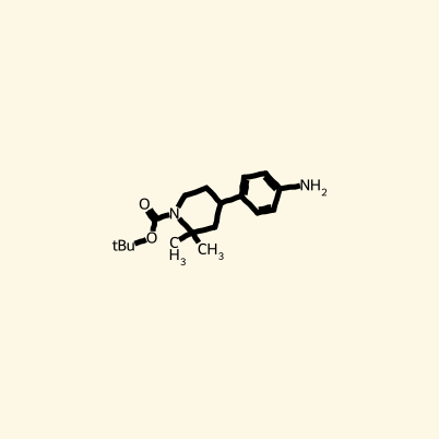 CC(C)(C)OC(=O)N1CCC(c2ccc(N)cc2)CC1(C)C